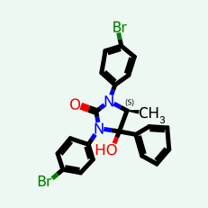 C[C@@H]1N(c2ccc(Br)cc2)C(=O)N(c2ccc(Br)cc2)C1(O)c1ccccc1